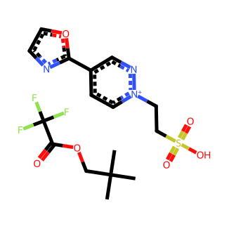 CC(C)(C)COC(=O)C(F)(F)F.O=S(=O)(O)CC[n+]1ccc(-c2ncco2)cn1